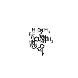 C=CC(O)Nc1cc(Nc2nccc(-c3cn(C4CC4)c4ccccc34)n2)c(OC(F)F)cc1N(C)CCN(C)C